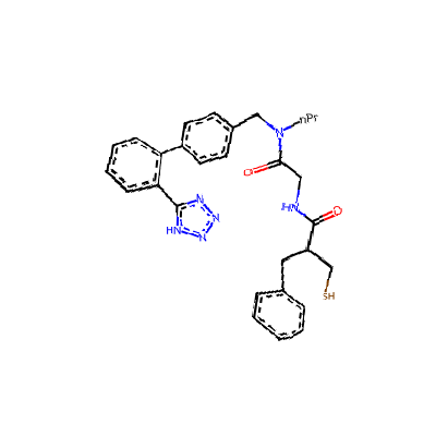 CCCN(Cc1ccc(-c2ccccc2-c2nnn[nH]2)cc1)C(=O)CNC(=O)C(CS)Cc1ccccc1